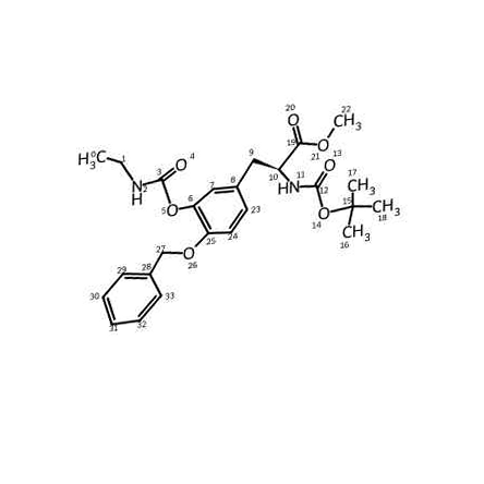 CCNC(=O)Oc1cc(C[C@H](NC(=O)OC(C)(C)C)C(=O)OC)ccc1OCc1ccccc1